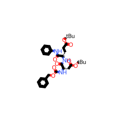 CC(C)(C)OC(=O)CC[C@H](NC(=O)[C@H](CC(=O)OC(C)(C)C)NC(=O)OCc1ccccc1)C(=O)Nc1ccccc1